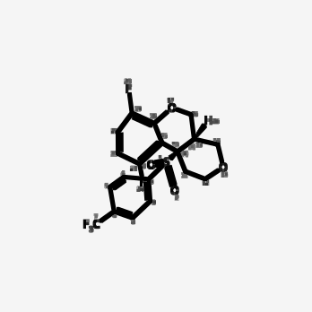 O=S(=O)(c1ccc(C(F)(F)F)cc1)[C@]12CCOC[C@H]1COc1c(F)ccc(F)c12